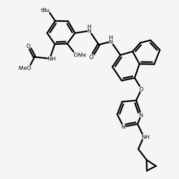 COC(=O)Nc1cc(C(C)(C)C)cc(NC(=O)Nc2ccc(Oc3ccnc(NCC4CC4)n3)c3ccccc23)c1OC